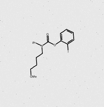 COCCCCN(C(=O)Oc1ccccc1I)C(C)C